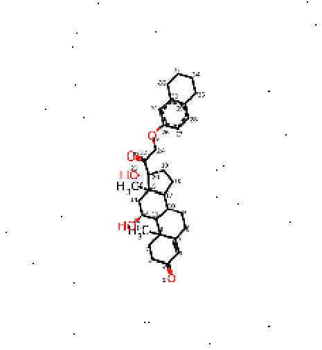 CC12CCC(=O)C=C1CCC1C2[C@@H](O)CC2(C)C1CC[C@]2(O)C(=O)COc1ccc2c(c1)CCCC2